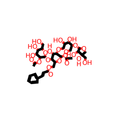 CC(=O)OC1OC(COC(=O)/C=C/c2ccccc2)C(OC2OC(CO)C(O)C(O)C2OC(C)=O)C(O)C1OC1OCC(OC2OCC(O)(CO)C2O)C(O)C1O